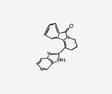 O=C1c2ccccc2C2=C(c3nc4ccncc4[nH]3)CCCN12